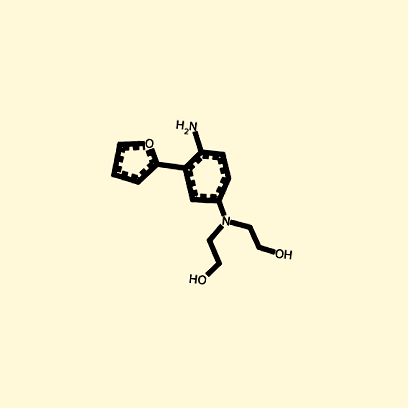 Nc1ccc(N(CCO)CCO)cc1-c1ccco1